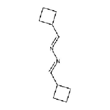 C(=NN=CC1CCC1)C1CCC1